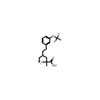 CCC(CCc1cccc(OC(F)(F)F)c1)CC(C)(N)C(=O)O